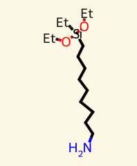 CCO[Si](CC)(CCCCCCCCCN)OCC